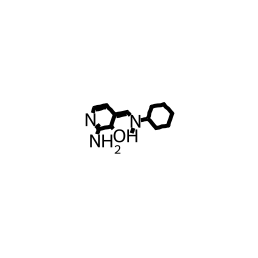 CN(C=C1C=CN=C(N)C1O)C1CCCCC1